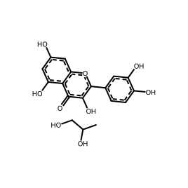 CC(O)CO.O=c1c(O)c(-c2ccc(O)c(O)c2)oc2cc(O)cc(O)c12